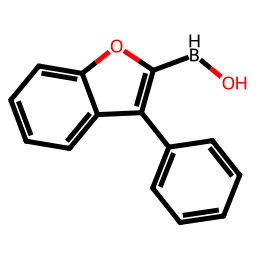 OBc1oc2ccccc2c1-c1ccccc1